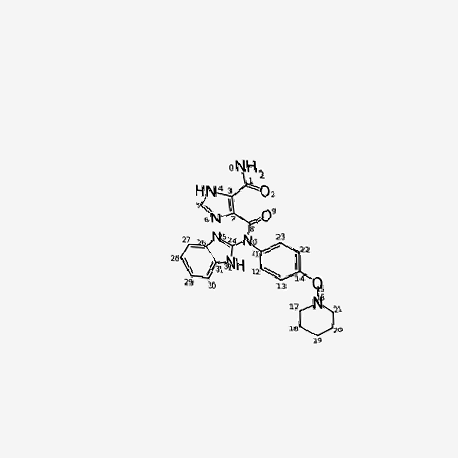 NC(=O)c1[nH]cnc1C(=O)N(c1ccc(ON2CCCCC2)cc1)c1nc2ccccc2[nH]1